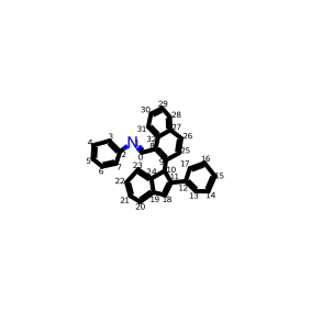 C(=Nc1ccccc1)c1c(C2C(c3ccccc3)=Cc3ccccc32)ccc2ccccc12